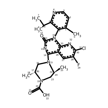 Cc1ccnc(C(C)C)c1-n1c(=O)nc(N2C[C@@H](C)N(C(=O)O)C[C@@H]2C)c2cc(F)c(Cl)nc21